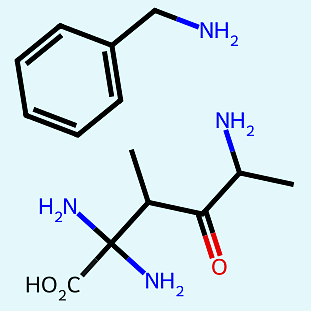 CC(N)C(=O)C(C)C(N)(N)C(=O)O.NCc1ccccc1